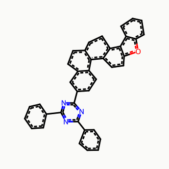 c1ccc(-c2nc(-c3ccccc3)nc(-c3ccc4c(ccc5ccc6c(ccc7oc8ccccc8c76)c54)c3)n2)cc1